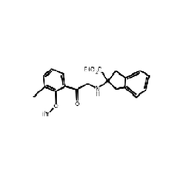 CCOC(=O)C1(NCC(=O)c2cccc(C)c2OC(C)C)Cc2ccccc2C1